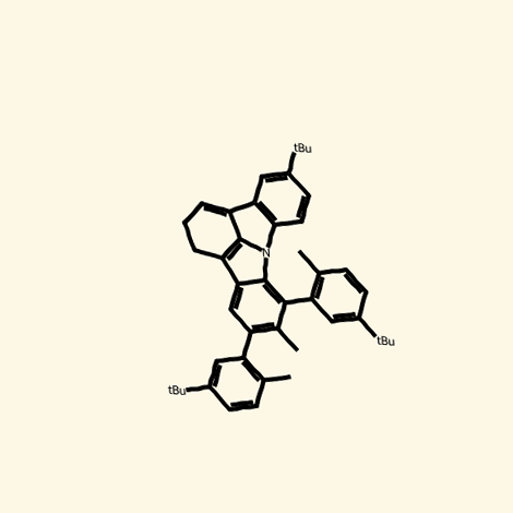 Cc1ccc(C(C)(C)C)cc1-c1cc2c3c4c(c5cc(C(C)(C)C)ccc5n4c2c(-c2cc(C(C)(C)C)ccc2C)c1C)=CCC3